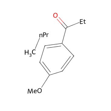 CCC(=O)c1ccc(OC)cc1.CCCC